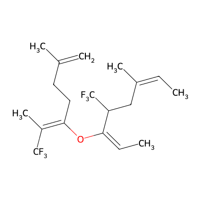 C=C(C)CC/C(O/C(=C/C)C(C/C(C)=C\C)C(F)(F)F)=C(\C)C(F)(F)F